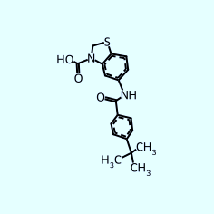 CC(C)(C)c1ccc(C(=O)Nc2ccc3c(c2)N(C(=O)O)CS3)cc1